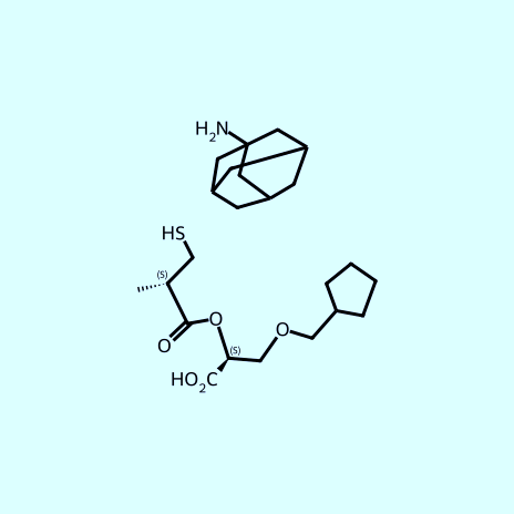 C[C@H](CS)C(=O)O[C@@H](COCC1CCCC1)C(=O)O.NC12CC3CC(CC(C3)C1)C2